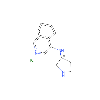 Cl.c1ccc2c(N[C@H]3CCNC3)cncc2c1